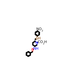 O=C(O)N1C[C@H](NOCc2ccccc2)CC[C@H]1C=[SH]c1ccc([N+](=O)[O-])cc1